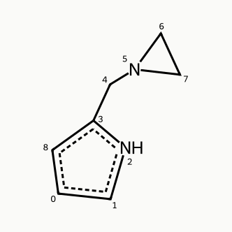 c1c[nH]c(CN2CC2)c1